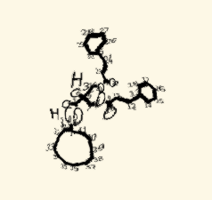 CC1(OC(=O)C(C)(COC(=O)/C=C/c2ccccc2)COC(=O)/C=C/c2ccccc2)CCCCCCCCCCC1